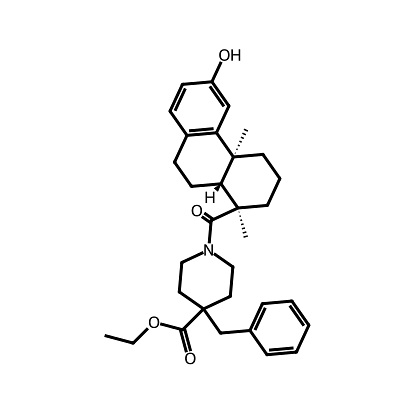 CCOC(=O)C1(Cc2ccccc2)CCN(C(=O)[C@]2(C)CCC[C@]3(C)c4cc(O)ccc4CC[C@@H]23)CC1